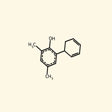 Cc1cc(C)c(O)c(C2C=CC=CC2)c1